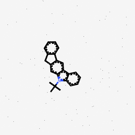 CC(C)(C)n1c2ccccc2c2cc3c(cc21)Cc1ccccc1-3